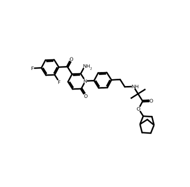 CC(C)(NCCc1ccc(-n2c(N)c(C(=O)c3ccc(F)cc3F)ccc2=O)cc1)C(=O)OC1CC2CCC1C2